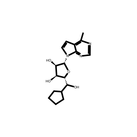 Cc1ncnc2c1ccn2[C@@H]1O[C@H](C(O)C2CCCC2)[C@@H](O)[C@H]1O